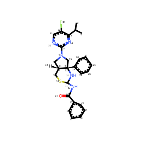 CC(C)c1nc(N2C[C@H]3CSC(NC(=O)c4ccccc4)N[C@@]3(c3ccccc3)C2)ncc1F